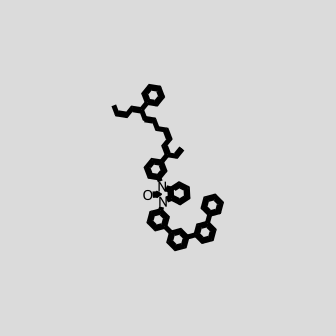 C=C/C(=C\C=C/C/C=C/C(=C\C=C/C)c1ccccc1)c1cccc(-n2c(=O)n(-c3cccc(-c4cccc(-c5cccc(-c6ccccc6)c5)c4)c3)c3ccccc32)c1